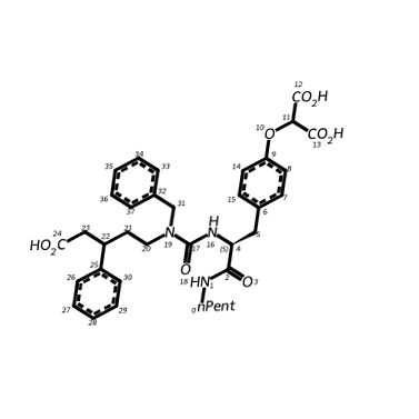 CCCCCNC(=O)[C@H](Cc1ccc(OC(C(=O)O)C(=O)O)cc1)NC(=O)N(CCC(CC(=O)O)c1ccccc1)Cc1ccccc1